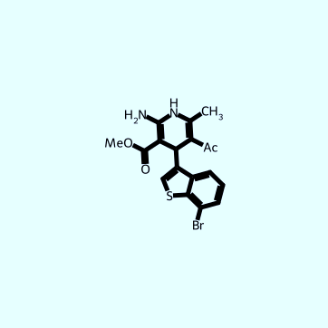 COC(=O)C1=C(N)NC(C)=C(C(C)=O)C1c1csc2c(Br)cccc12